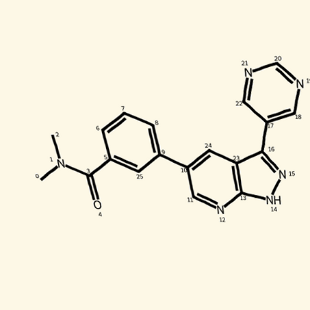 CN(C)C(=O)c1cccc(-c2cnc3[nH]nc(-c4cncnc4)c3c2)c1